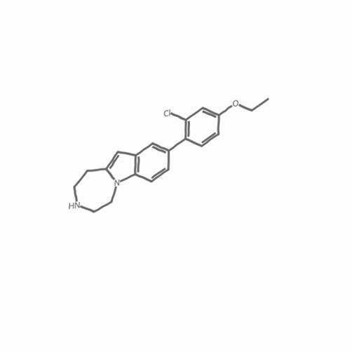 CCOc1ccc(-c2ccc3c(c2)cc2n3CCNCC2)c(Cl)c1